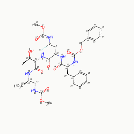 C[C@@H](O)[C@H](NC(=O)[C@H](CC(F)NC(=O)OC(C)(C)C)NC(=O)[C@H](Cc1ccccc1)NC(=O)OCc1ccccc1)C(=O)N[C@@H](CNC(=O)OC(C)(C)C)C(=O)O